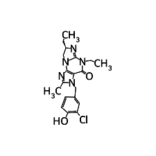 CC[C@@H]1CN2C(=N1)N(CC)C(=O)c1c2nc(C)n1Cc1ccc(O)c(Cl)c1